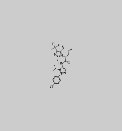 C=CCC(C(=O)Nc1cnn(-c2ccc(Cl)cc2)c1C(C)C)n1c(C)nc(C(F)(F)F)c1C=C